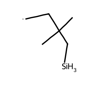 [CH2]CC(C)(C)C[SiH3]